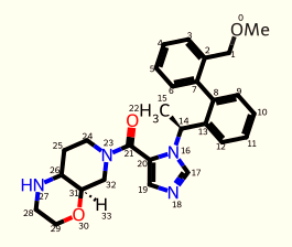 COCc1ccccc1-c1ccccc1[C@H](C)n1cncc1C(=O)N1CCC2NCCO[C@@H]2C1